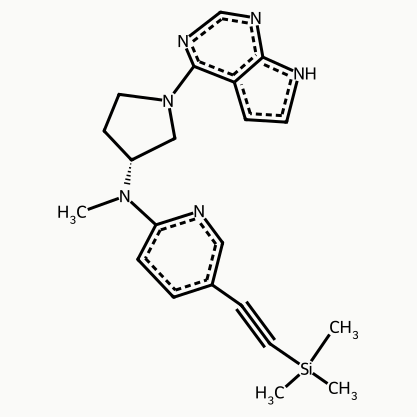 CN(c1ccc(C#C[Si](C)(C)C)cn1)[C@@H]1CCN(c2ncnc3[nH]ccc23)C1